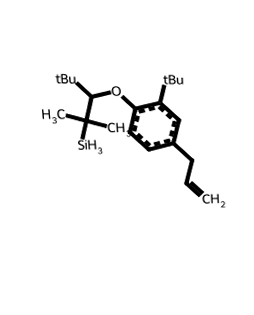 C=CCc1ccc(OC(C(C)(C)C)C(C)(C)[SiH3])c(C(C)(C)C)c1